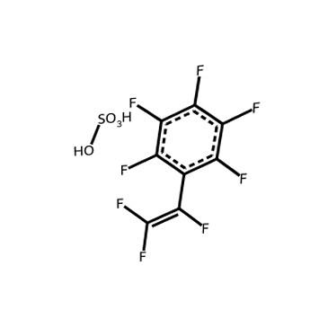 FC(F)=C(F)c1c(F)c(F)c(F)c(F)c1F.O=S(=O)(O)O